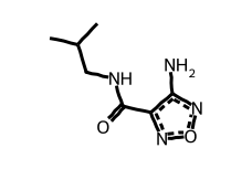 CC(C)CNC(=O)c1nonc1N